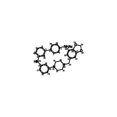 CC(=O)Nc1ccc(-c2ccnc(Nc3cccc(N4CCN(Cc5ccc6c(c5)OCO6)CC4)c3)n2)cc1